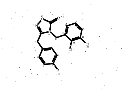 O=c1onc(Cc2ccc(F)cc2)n1Cc1cccc(Cl)c1Cl